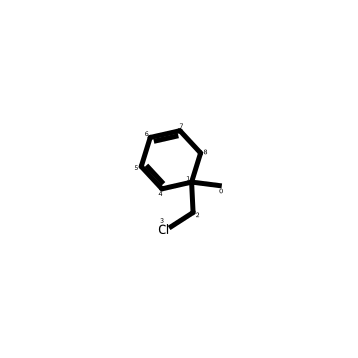 CC1(CCl)C=CC=CC1